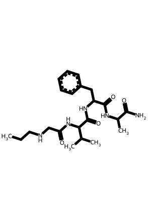 CCCNCC(=O)NC(C(=O)NC(Cc1ccccc1)C(=O)NC(C)C(N)=O)C(C)C